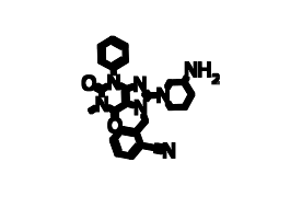 Cn1c(=O)c2c(nc(N3CCCC(N)C3)n2Cc2ccccc2C#N)n(-c2ccccc2)c1=O